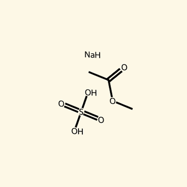 COC(C)=O.O=S(=O)(O)O.[NaH]